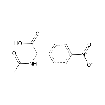 CC(=O)NC(C(=O)O)c1ccc([N+](=O)[O-])cc1